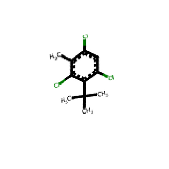 Cc1c(Cl)cc(Cl)c(C(C)(C)C)c1Cl